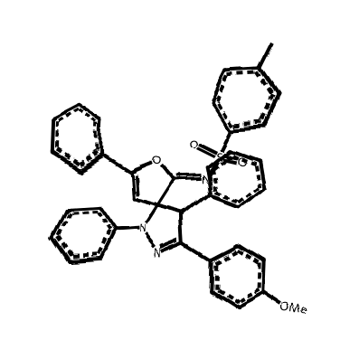 COc1ccc(C2=NN(c3ccccc3)C3(C=C(c4ccccc4)OC3=NS(=O)(=O)c3ccc(C)cc3)C2c2ccccc2)cc1